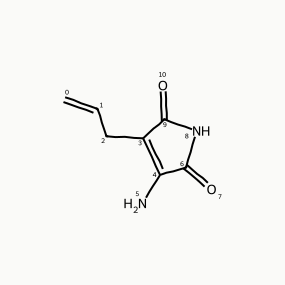 C=CCC1=C(N)C(=O)NC1=O